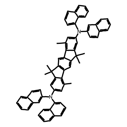 Cc1cc(N(c2ccc3ccccc3c2)c2cccc3ccccc23)cc2c1-c1cc3c(cc1C2(C)C)-c1c(C)cc(N(c2ccc4ccccc4c2)c2cccc4ccccc24)cc1C3(C)C